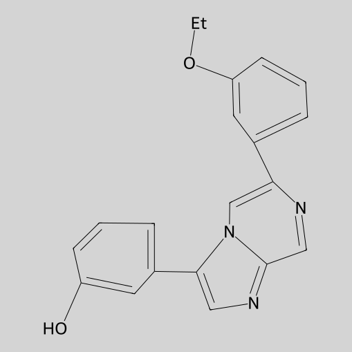 CCOc1cccc(-c2cn3c(-c4cccc(O)c4)cnc3cn2)c1